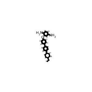 CCC1CCC(c2ccc(-c3ccc(Oc4cc(N)ccc4N)cc3)cc2)CC1